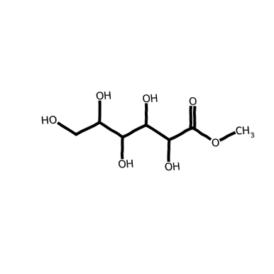 COC(=O)C(O)C(O)C(O)C(O)CO